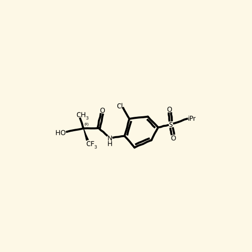 CC(C)S(=O)(=O)c1ccc(NC(=O)[C@@](C)(O)C(F)(F)F)c(Cl)c1